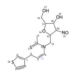 CC(=S)N(/C=C\Cc1c#csc1)CC1OC(CO)C(O)C1N=O